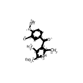 CCCOc1ccc(C(=O)c2c(C)[nH]c(C(=O)OCC)c2C)cc1Cl